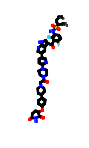 CCC(C)S(=O)(=O)Nc1ccc(F)c(C(=O)c2c[nH]c3ncc(-c4ccc(N5CCN(C(=O)CN6CCC(c7ccc(OC8CCC(=O)NC8=O)cc7)CC6)CC5)nc4)cc23)c1F